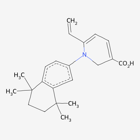 C=CC1=CC=C(C(=O)O)CN1c1ccc2c(c1)C(C)(C)CCC2(C)C